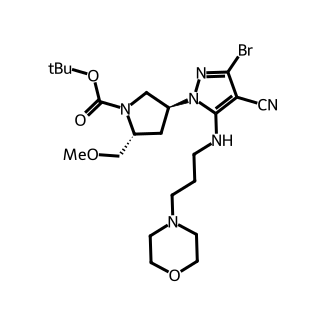 COC[C@H]1C[C@H](n2nc(Br)c(C#N)c2NCCCN2CCOCC2)CN1C(=O)OC(C)(C)C